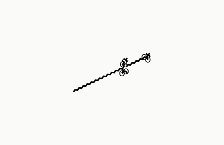 CCCCCCCCCCCCCCCCCCCCCCCCC(C(=O)OC)[C@@H](CCCCCCCCCOC(=O)C(C)(C)C)O[Si](C)(C)C(C)(C)C